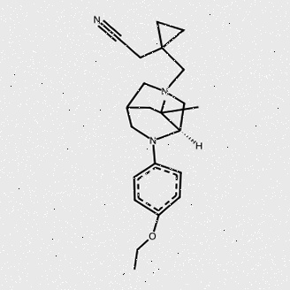 CCOc1ccc(N2CC3CN(CC4(CC#N)CC4)C[C@@H]2C(C)(C)C3)cc1